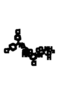 NC(=O)[C@H](CO)NC(=O)c1cc(Cl)cc(NS(=O)(=O)CC2CN(C(c3ccc(Cl)cc3)c3ccc(Cl)cc3)C2)c1